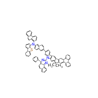 CC1(C)c2cc3c4ccccc4c4ccccc4c3cc2-c2cc3c4ccc(-c5ccc6cc(N(c7cccc8c7ccc7ccccc78)c7cccc8c7sc7ccccc78)ccc6c5)cc4n(-c4nc(-c5ccccc5)c5ccc6ccccc6c5n4)c3cc21